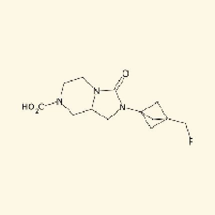 O=C(O)N1CCN2C(=O)N(C34CC(CF)(C3)C4)CC2C1